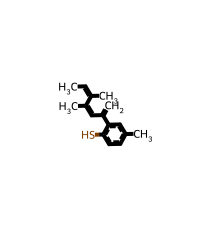 C=C(/C=C(C)\C(C)=C/C)c1cc(C)ccc1S